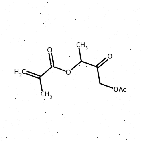 C=C(C)C(=O)OC(C)C(=O)COC(C)=O